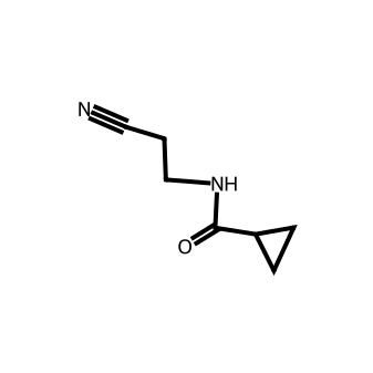 N#CCCNC(=O)C1CC1